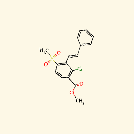 COC(=O)c1ccc(S(C)(=O)=O)c(C=Cc2ccccc2)c1Cl